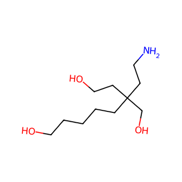 NCCC(CO)(CCO)CCCCCO